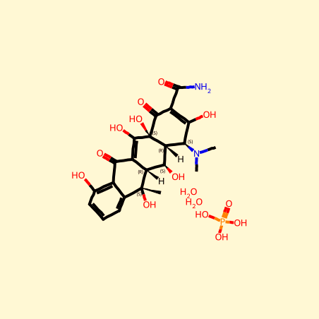 CN(C)[C@@H]1C(O)=C(C(N)=O)C(=O)[C@@]2(O)C(O)=C3C(=O)c4c(O)cccc4[C@@](C)(O)[C@H]3[C@H](O)[C@@H]12.O.O.O=P(O)(O)O